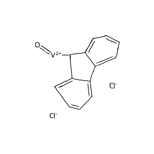 [Cl-].[Cl-].[O]=[V+2][CH]1c2ccccc2-c2ccccc21